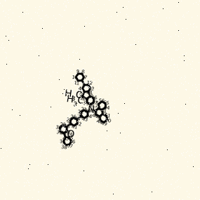 CC1(C)c2cc(-c3ccccc3)ccc2-c2ccc(N(c3ccc(-c4ccc(-c5cccc6c5oc5ccccc56)cc4)cc3)c3cc4ccccc4c4ccccc34)cc21